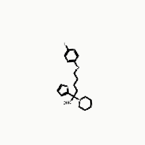 O=CC(CCCCOc1ccc(F)cc1)(c1cccs1)N1CCCCC1